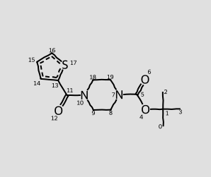 CC(C)(C)OC(=O)N1CCN(C(=O)c2cccs2)CC1